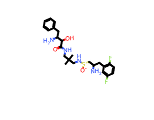 CC(C)(CNC(=O)C(O)C(N)Cc1ccccc1)CN[S+]([O-])CC(N)Cc1cc(F)ccc1F